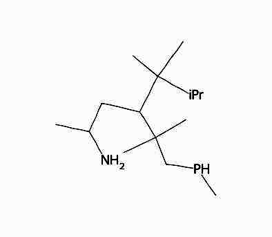 CPCC(C)(C)C(CC(C)N)C(C)(C)C(C)C